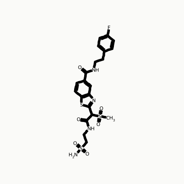 CS(=O)(=O)C(C(=O)NCCS(N)(=O)=O)c1nc2cc(C(=O)NCCc3ccc(F)cc3)ccc2s1